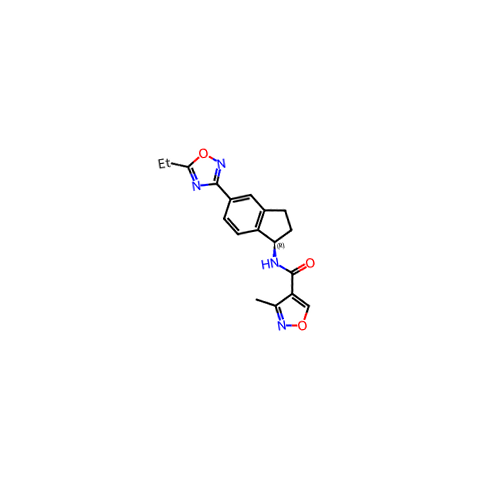 CCc1nc(-c2ccc3c(c2)CC[C@H]3NC(=O)c2conc2C)no1